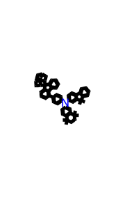 CC1(C)CCC(C)(C)c2cc(N(c3ccc(-c4cccc5c4-c4ccccc4C54C5CC6CC7CC4C75C6)cc3)c3ccc4c(c3)C(C)(C)c3ccccc3-4)ccc21